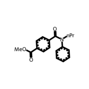 CCCN(C(=O)c1ccc(C(=O)OC)cc1)c1ccccc1